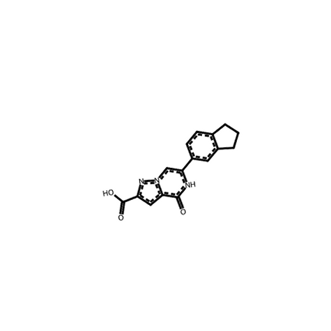 O=C(O)c1cc2c(=O)[nH]c(-c3ccc4c(c3)CCC4)cn2n1